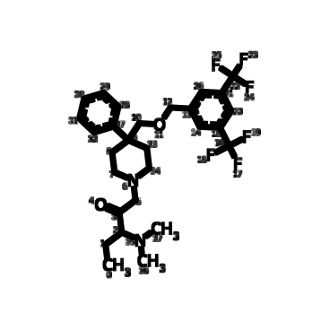 CCC(C(=O)CN1CCC(COCc2cc(C(F)(F)F)cc(C(F)(F)F)c2)(c2ccccc2)CC1)N(C)C